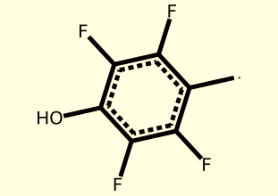 [CH2]c1c(F)c(F)c(O)c(F)c1F